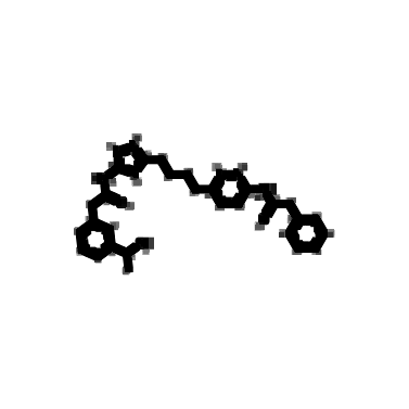 CC(O)c1cccc(CC(=O)Nc2nnc(CCCCc3ccc(NC(=O)Cc4ccccc4)nn3)s2)c1